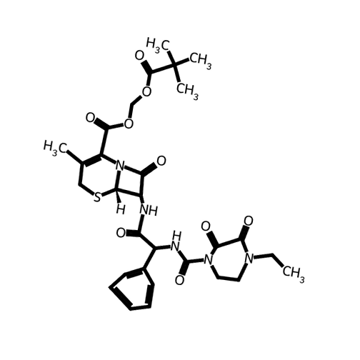 CCN1CCN(C(=O)NC(C(=O)NC2C(=O)N3C(C(=O)OCOC(=O)C(C)(C)C)=C(C)CS[C@@H]23)c2ccccc2)C(=O)C1=O